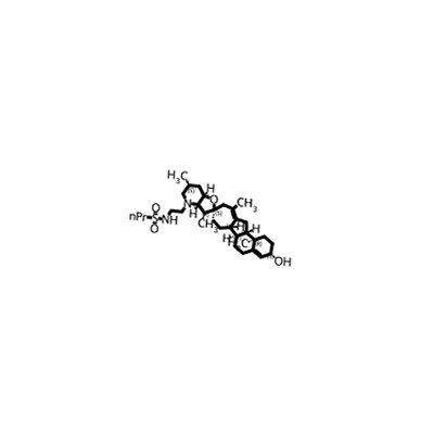 CCCS(=O)(=O)NCCN1C[C@@H](C)C[C@H]2O[C@]3(CC[C@@H]4C(=C(C)C3)C[C@H]3[C@H]4CCC4=C[C@@H](O)CC[C@@]43C)[C@H](C)[C@@H]21